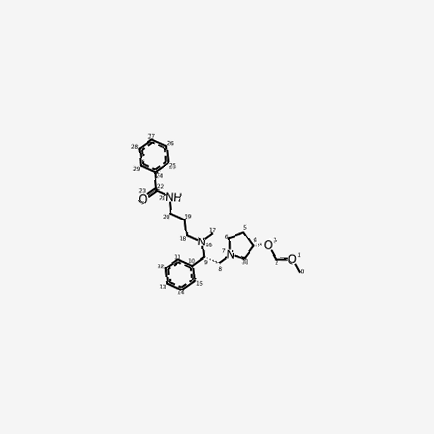 COCO[C@H]1CCN(C[C@H](c2ccccc2)N(C)CCCNC(=O)c2ccccc2)C1